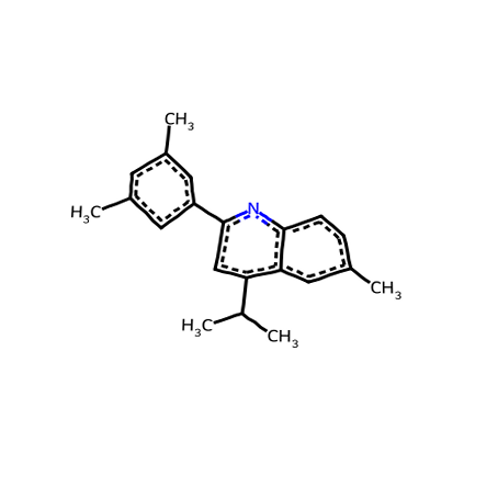 Cc1cc(C)cc(-c2cc(C(C)C)c3cc(C)ccc3n2)c1